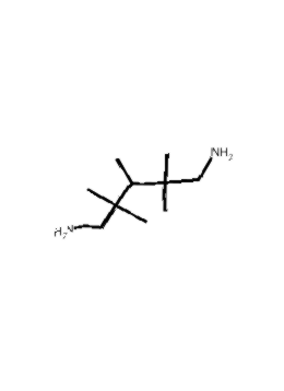 CC(C(C)(C)CN)C(C)(C)CN